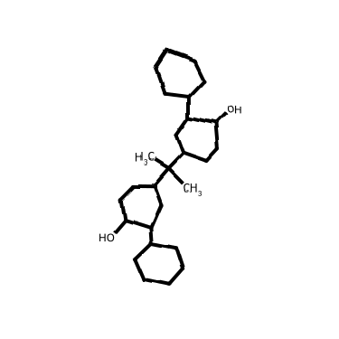 CC(C)(C1CCC(O)C(C2CCCCC2)C1)C1CCC(O)C(C2CCCCC2)C1